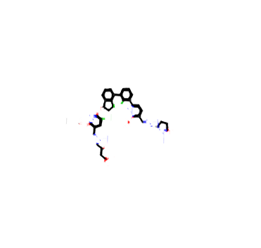 COc1nc(-c2cccc(-c3cccc4c3CC[C@@H]4Oc3nc(OC)c(CNC[C@@H](O)CC(=O)O)cc3Cl)c2Cl)ccc1CNC[C@@H]1CCC(=O)N1